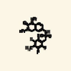 CCCN1Cc2cc(NS(=O)(=O)Cc3c(F)c(F)c(C)c(F)c3F)ccc2N(CCC)C1=O